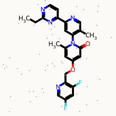 CCc1nccc(-c2cc(-n3c(C)cc(OCc4ncc(F)cc4F)cc3=O)c(C)cn2)n1